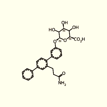 NC(=O)CCc1cc(-c2ccccc2)ccc1-c1cccc(O[C@@H]2O[C@H](C(=O)O)C(O)[C@H](O)C2O)c1